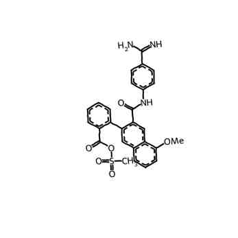 COc1cccc2cc(-c3ccccc3C(=O)OS(C)(=O)=O)c(C(=O)Nc3ccc(C(=N)N)cc3)cc12